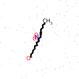 CCCCCC#CCC(=CCCCCCCC[C]=O)[N+](=O)[O-]